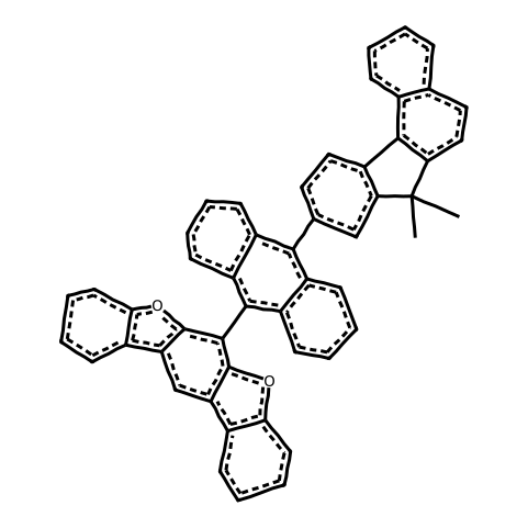 CC1(C)c2cc(-c3c4ccccc4c(-c4c5oc6ccccc6c5cc5c4oc4ccccc45)c4ccccc34)ccc2-c2c1ccc1ccccc21